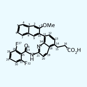 COc1cc2ccccc2cc1-c1ccc(CCC(=O)O)c2ccc(NC(=O)c3c(F)cccc3F)nc12